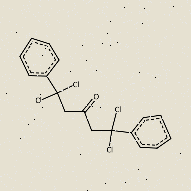 O=C(CC(Cl)(Cl)c1ccccc1)CC(Cl)(Cl)c1ccccc1